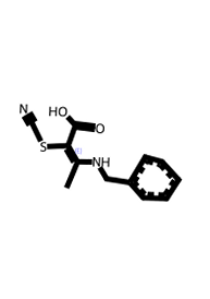 C/C(NCc1ccccc1)=C(\SC#N)C(=O)O